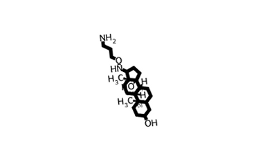 C[C@]12CCC(O)CC1CC[C@@H]1[C@H]2CC[C@]2(C)C(NOCCCN)CC[C@@]12O